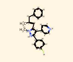 C/C(=C\c1c(-c2ccncc2)c(-c2ccc(F)cc2)nn1C)Cc1ccccc1